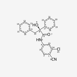 N#Cc1ccc(NC(=O)[C@](O)(Cc2ccccc2)c2ccccc2)cc1Cl